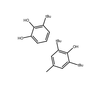 CC(C)(C)c1cccc(O)c1O.Cc1cc(C(C)(C)C)c(O)c(C(C)(C)C)c1